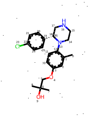 Cc1cc(OCC(C)(C)O)ccc1N1CCNC[C@H]1c1ccc(Cl)cc1